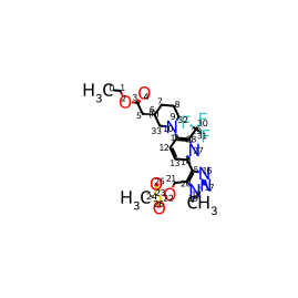 CCOC(=O)C[C@H]1CCCN(c2ccc(-c3nnn(C)c3COS(C)(=O)=O)nc2C(F)(F)F)C1